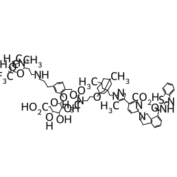 Cc1c(-c2ccc(N3CCc4cccc(C(=O)Nc5nc6ccccc6s5)c4C3)nc2C(=O)O)cnn1CC12CC3(C)CC(C)(C1)CC(OCCN(C)C(=O)OCc1ccc(CCCNCCC(OC(=O)C(F)(F)F)[N+](C)(C)C)cc1O[C@@H]1O[C@H](C(=O)O)[C@@H](O)[C@H](O)[C@H]1O)(C3)C2